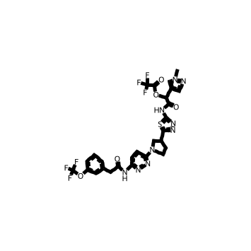 Cn1cc(C(OC(=O)C(F)(F)F)C(=O)Nc2nnc(C3CCN(c4ccc(NC(=O)Cc5cccc(OC(F)(F)F)c5)nn4)C3)s2)cn1